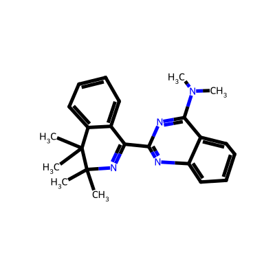 CN(C)c1nc(C2=NC(C)(C)C(C)(C)c3ccccc32)nc2ccccc12